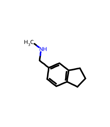 CNCc1ccc2c(c1)CCC2